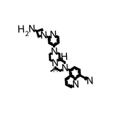 C[C@@H]1CN(c2ccc(C#N)c3ncccc23)C[C@@H]2CN(c3ccnc(N4CC(N)C4)c3)CCN21